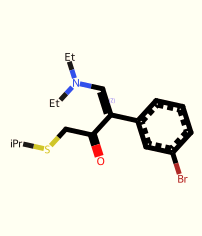 CCN(/C=C(\C(=O)CSC(C)C)c1cccc(Br)c1)CC